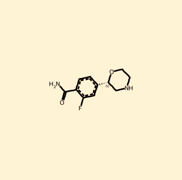 NC(=O)c1ccc([C@H]2CNCCO2)cc1F